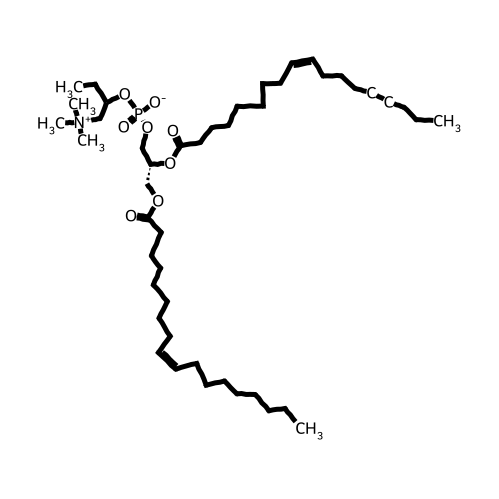 CCCCCCCC/C=C\CCCCCCCC(=O)OC[C@H](COP(=O)([O-])OC(CC)C[N+](C)(C)C)OC(=O)CCCCCCC/C=C\CCCCCCCC